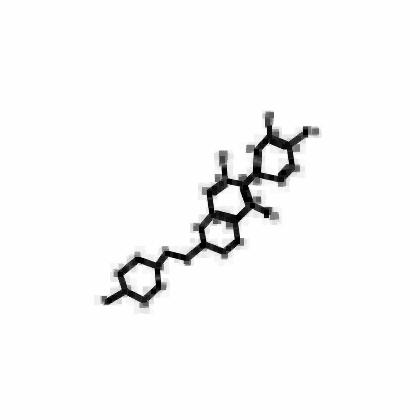 CC1CCC(CCC2CCc3c(cc(F)c(-c4ccc(F)c(F)c4)c3F)C2)CC1